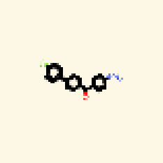 Nc1ccc(C(=O)c2ccc(-c3ccc(F)cc3)cc2)cc1